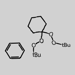 CC(C)(C)OOC1(OOC(C)(C)C)CCCCC1.c1ccccc1